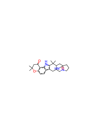 CC1(C)CC(=O)c2c(ccc3c4c([nH]c23)C(C)(C)C2CC35CCCN3CC2(C4)NC5=O)O1